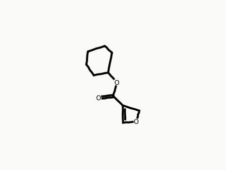 O=C(OC1CCCCC1)C1=COC1